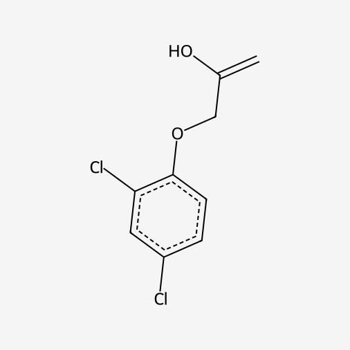 C=C(O)COc1ccc(Cl)cc1Cl